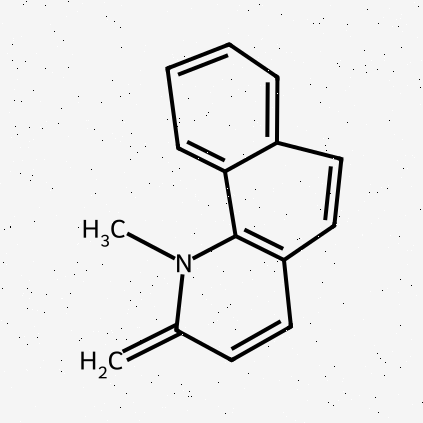 C=C1C=Cc2ccc3ccccc3c2N1C